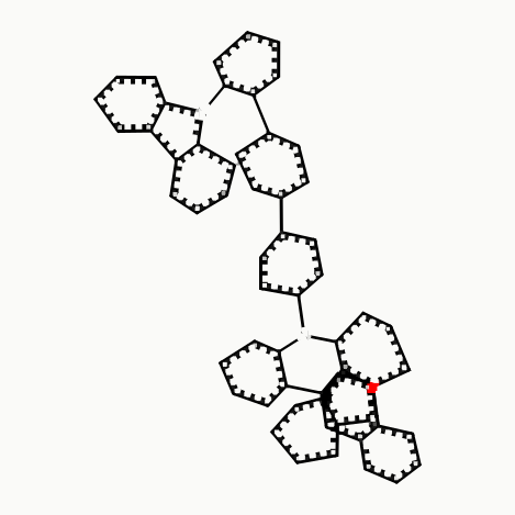 c1ccc(N(c2ccc(-c3ccc(-c4ccccc4-n4c5ccccc5c5ccccc54)cc3)cc2)c2cccc3sc4ccccc4c23)c(-c2ccc3ccccc3c2)c1